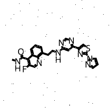 CNC(=O)c1c(F)cnc2c(CCNc3cc(-c4csc(-n5cccn5)n4)ncn3)cccc12